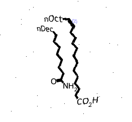 CCCCCCCC/C=C\CCCCCCCCCCCC(=O)O.CCCCCCCCCCCCCCCCCC(N)=O